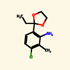 CCC1(c2ccc(Cl)c(C)c2N)OCCO1